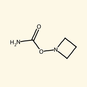 NC(=O)ON1CCC1